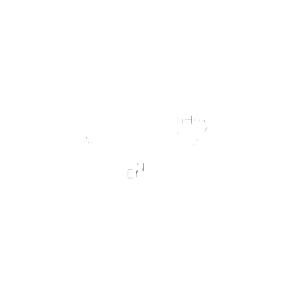 CCCCCC/C=C\COC(=O)CCCCCCCN(CC)CCCCCCCC(C)=O